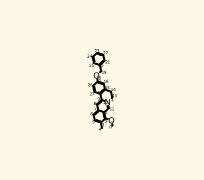 COc1c(C)ccc2cc3[n+](cc12)CCc1cc(OCc2ccccc2)ccc1-3